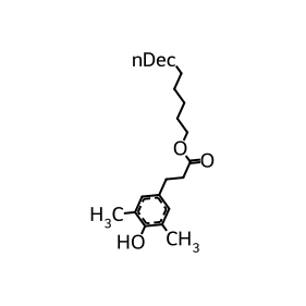 CCCCCCCCCCCCCCCOC(=O)CCc1cc(C)c(O)c(C)c1